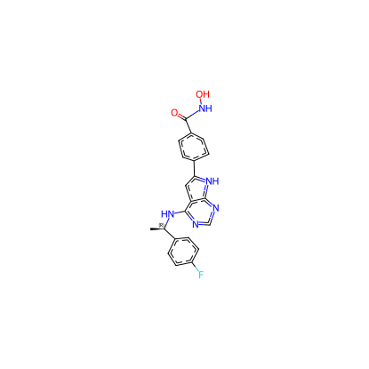 C[C@@H](Nc1ncnc2[nH]c(-c3ccc(C(=O)NO)cc3)cc12)c1ccc(F)cc1